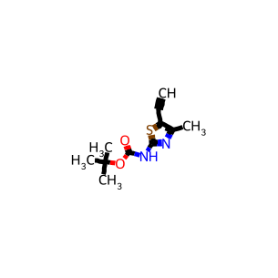 C#Cc1sc(NC(=O)OC(C)(C)C)nc1C